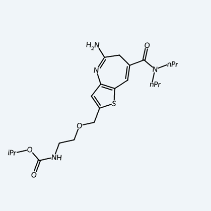 CCCN(CCC)C(=O)C1=Cc2sc(COCCNC(=O)OC(C)C)cc2N=C(N)C1